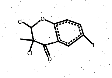 CC1(Cl)C(=O)c2cc(I)ccc2OC1Cl